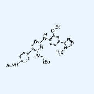 CCOc1cc(-c2nncn2C)ccc1Nc1ncc(-c2ccc(NC(C)=O)cc2)c(NCC(C)(C)C)n1